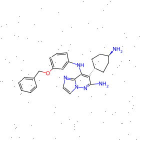 Nc1nn2ccnc2c(Nc2cccc(OCc3ccccc3)c2)c1[C@H]1CC[C@H](N)CC1